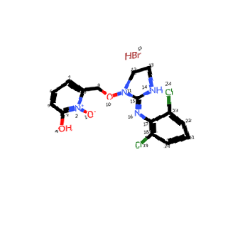 Br.[O-][n+]1c(O)cccc1CON1CCN/C1=N\c1c(Cl)cccc1Cl